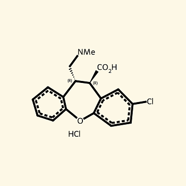 CNC[C@H]1c2ccccc2Oc2ccc(Cl)cc2[C@@H]1C(=O)O.Cl